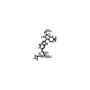 CC(C)(C)OC(=O)N[C@H](c1cn2ncc([C@@H](COC3CCC3)N[S@+]([O-])C(C)(C)C)cc2n1)C1CCC(F)(F)CC1